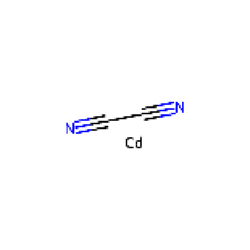 N#CC#N.[Cd]